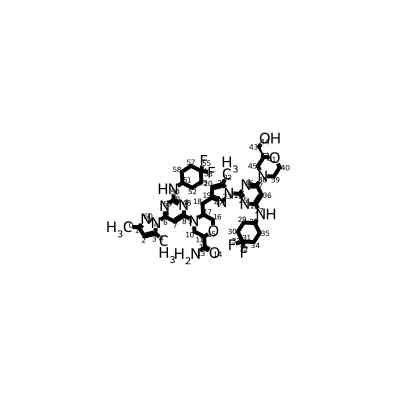 Cc1cc(C)n(-c2cc(N3CC(C(N)=O)OCC3Cc3cc(C)n(-c4nc(NC5CCC(F)(F)CC5)cc(N5CCO[C@H](CO)C5)n4)n3)nc(NC3CCC(F)(F)CC3)n2)n1